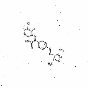 Nc1n[nH]c(N)c1N=Nc1ccc(-c2nc3c(Cl)c(Cl)ccc3[nH]c2=O)cc1